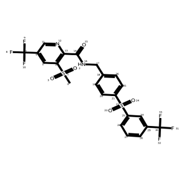 CS(=O)(=O)c1cc(C(F)(F)F)cnc1C(=O)NCc1ccc(S(=O)(=O)c2cccc(C(F)(F)F)c2)cc1